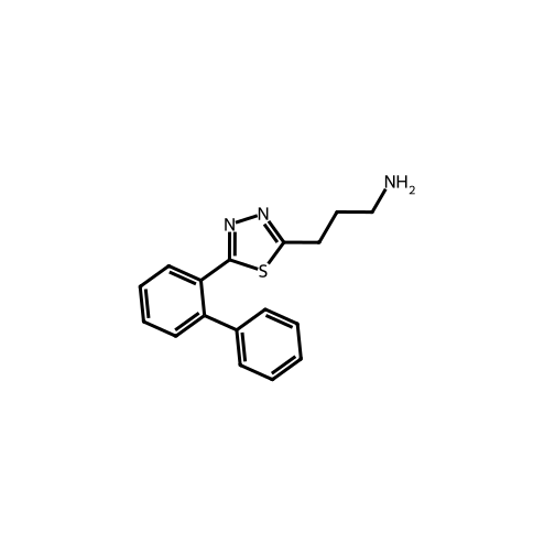 NCCCc1nnc(-c2ccccc2-c2ccccc2)s1